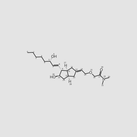 CCCCC[C@H](O)/C=C/[C@@H]1[C@H]2C/C(=C/COCC(=O)N(C)C)C[C@H]2C[C@H]1O